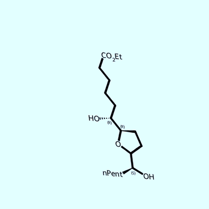 CCCCC[C@H](O)C1CC[C@H]([C@H](O)CCCCC(=O)OCC)O1